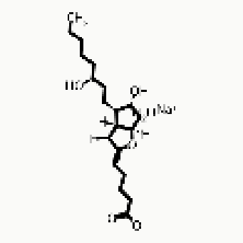 CCCCC[C@H](O)CC[C@@H]1[C@H]2[C@H](F)/C(=C/CCCC(=O)[O-])O[C@@H]2C[C@H]1O.O.[Na+]